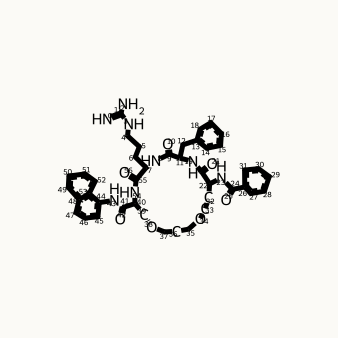 N=C(N)NCCCC1NC(=O)C(Cc2ccccc2)NC(=O)C(NC(=O)c2ccccc2)CCOCCCOCC(C(=O)Nc2cccc3ccccc23)NC1=O